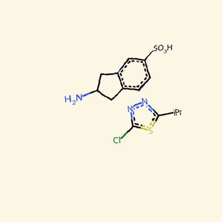 CC(C)c1nnc(Cl)s1.NC1Cc2ccc(S(=O)(=O)O)cc2C1